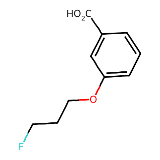 O=C(O)c1cccc(OCCCF)c1